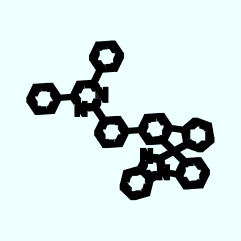 c1ccc(-c2cc(-c3ccccc3)nc(-c3cccc(-c4ccc5c(c4)C4(c6ccccc6-5)c5ccccc5-n5c4nc4ccccc45)c3)n2)cc1